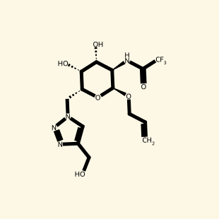 C=CCO[C@H]1O[C@H](Cn2cc(CO)nn2)[C@H](O)[C@H](O)[C@H]1NC(=O)C(F)(F)F